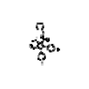 CC(C)n1c(C=O)c(-c2ccc(F)cc2)c(-c2ccc(F)cc2)c1C(=O)OCc1ccccc1